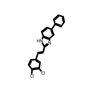 Clc1ccc(C=Cc2nc3cc(-c4ccccc4)ccc3[nH]2)cc1Cl